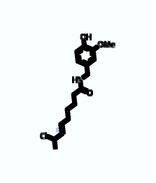 COc1cc(CNC(=O)CCCC/C=C/C(C)Cl)ccc1O